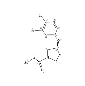 CC(C)(C)OC(=O)N1CC[C@H](Oc2cnc(Cl)c(Br)c2)C1